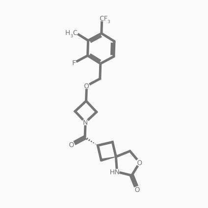 Cc1c(C(F)(F)F)ccc(COC2CN(C(=O)[C@H]3C[C@]4(COC(=O)N4)C3)C2)c1F